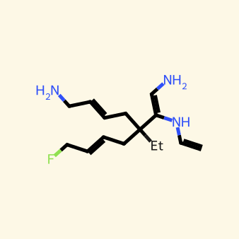 C=CN/C(=C\N)C(CC)(C/C=C/CN)C/C=C/CF